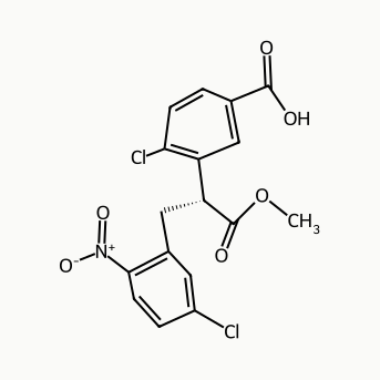 COC(=O)[C@H](Cc1cc(Cl)ccc1[N+](=O)[O-])c1cc(C(=O)O)ccc1Cl